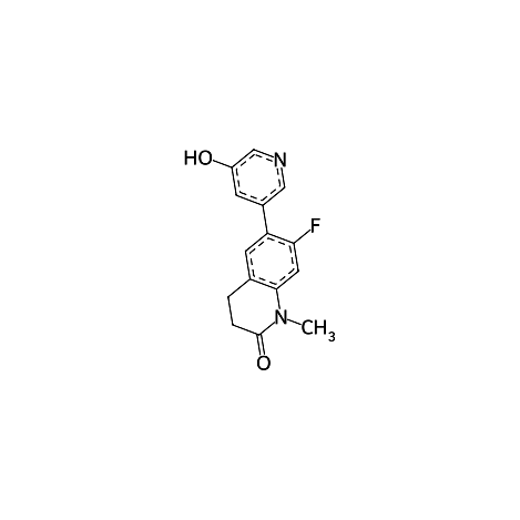 CN1C(=O)CCc2cc(-c3cncc(O)c3)c(F)cc21